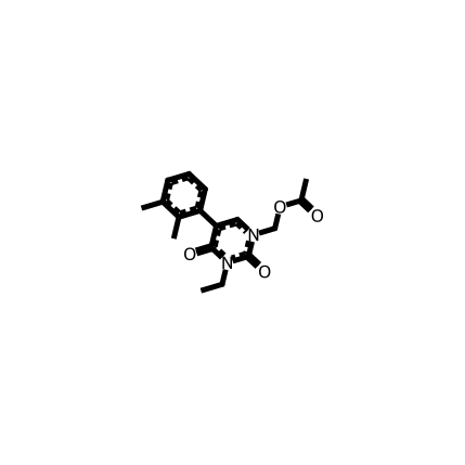 CCn1c(=O)c(-c2cccc(C)c2C)cn(COC(C)=O)c1=O